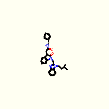 CC(C)CCn1c(CN2C(=O)C(CC(=O)NCc3ccccc3)c3ccccc32)nc2ccccc21